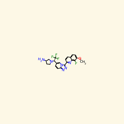 COc1ccc2ccc(-c3nnc4ccc([C@@H](N5CCC(N)C5)C(F)(F)F)cn34)nc2c1F